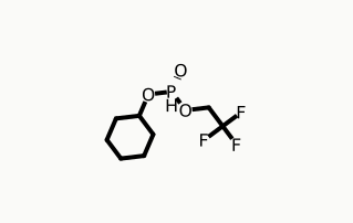 O=[PH](OCC(F)(F)F)OC1CCCCC1